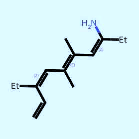 C=C\C(=C/C(C)=C(C)/C=C(\N)CC)CC